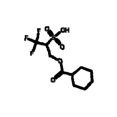 O=C(OCC(C(F)(F)F)S(=O)(=O)O)C1CCCCC1